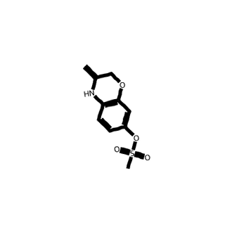 C=C1COc2cc(OS(C)(=O)=O)ccc2N1